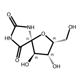 O=C1NC(=O)[C@@]2(N1)O[C@H](CO)[C@H](O)[C@H]2O